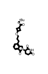 CC(C)(C)OC(=O)C1CC(OCCCc2cccc3c2CN(C2CCC(=O)NC2=O)C3=O)C1